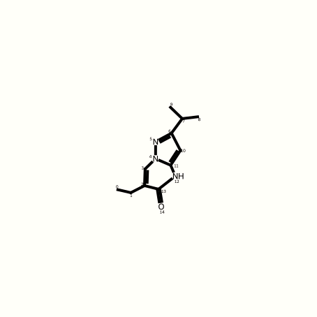 CCc1cn2nc(C(C)C)cc2[nH]c1=O